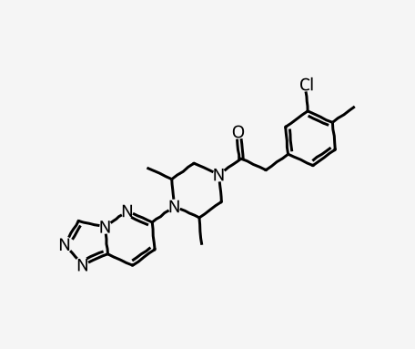 Cc1ccc(CC(=O)N2CC(C)N(c3ccc4nncn4n3)C(C)C2)cc1Cl